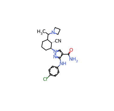 CC(C1CCC[C@H](n2cc(C(N)=O)c(Nc3ccc(Cl)cc3)n2)[C@H]1C#N)N1CCC1